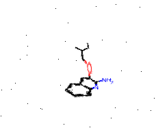 CCC(C)COc1cc2ccccc2nc1N